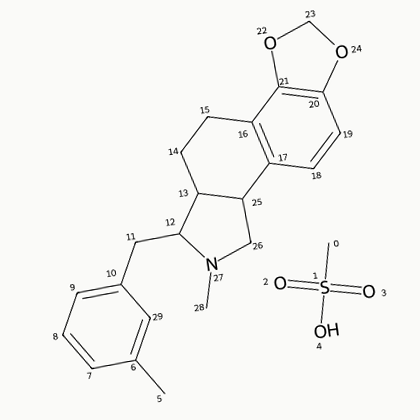 CS(=O)(=O)O.Cc1cccc(CC2C3CCc4c(ccc5c4OCO5)C3CN2C)c1